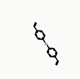 C=Cc1cc[c]([Zn][c]2ccc(C=C)cc2)cc1